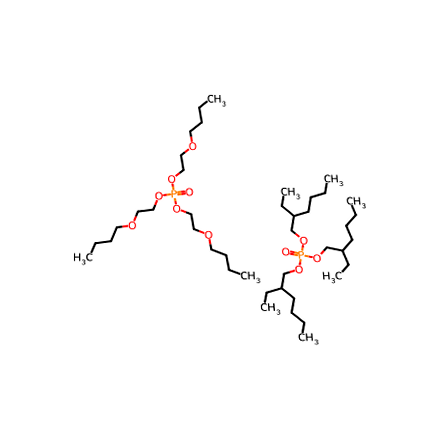 CCCCC(CC)COP(=O)(OCC(CC)CCCC)OCC(CC)CCCC.CCCCOCCOP(=O)(OCCOCCCC)OCCOCCCC